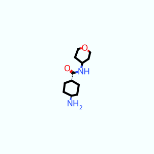 N[C@H]1CC[C@H](C(=O)NC2CCOCC2)CC1